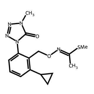 CSC(C)=NOCc1c(C2CC2)cccc1-n1nnn(C)c1=O